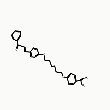 C=C(C)c1ccc(OCCCCCCOc2ccc(C=CC(=O)c3ccccc3)cc2)cc1